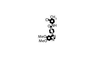 COc1cc2ncnc(N3CCN(C(=O)Nc4ccc(C)c(Cl)c4)CC3)c2cc1OC